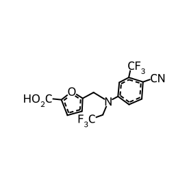 N#Cc1ccc(N(Cc2ccc(C(=O)O)o2)CC(F)(F)F)cc1C(F)(F)F